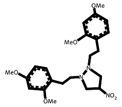 COc1ccc(CCN2CC([N+](=O)[O-])CN2CCc2ccc(OC)cc2OC)c(OC)c1